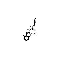 CC#CCNC(=N)NC(=O)Nc1c(C)cccc1C.Cl